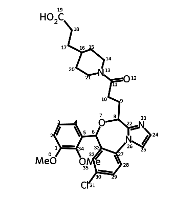 COc1cccc(C2OC(CCC(=O)N3CCC(CCC(=O)O)CC3)c3nccn3-c3ccc(Cl)cc32)c1OC